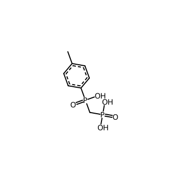 Cc1ccc(P(=O)(O)CP(=O)(O)O)cc1